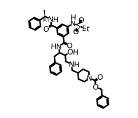 CCS(=O)(=O)Nc1cc(C(=O)NC(Cc2ccccc2)C(O)CNCC2CCN(C(=O)OCc3ccccc3)CC2)cc(C(=O)N[C@H](C)c2ccccc2)c1